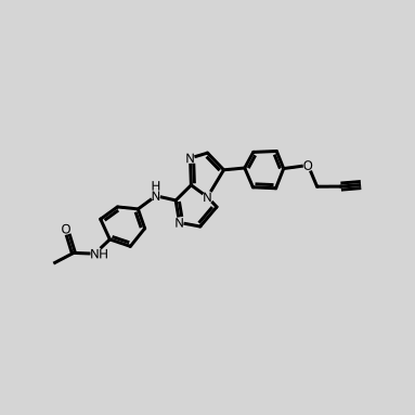 C#CCOc1ccc(-c2cnc3c(Nc4ccc(NC(C)=O)cc4)nccn23)cc1